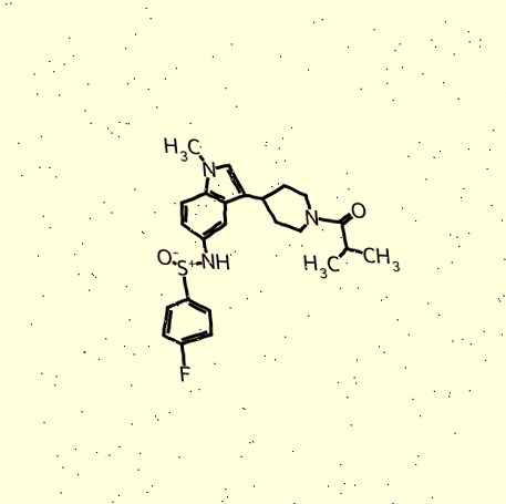 CC(C)C(=O)N1CCC(c2cn(C)c3ccc(N[S+]([O-])c4ccc(F)cc4)cc23)CC1